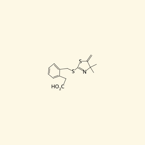 C=C1SC(SCc2ccccc2CC(=O)O)=NC1(C)C